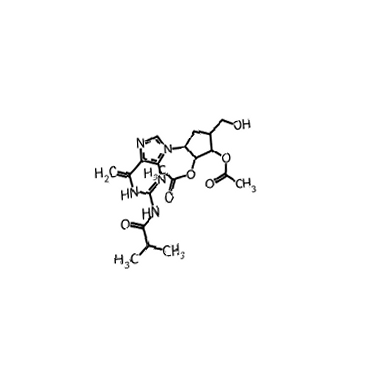 C=C1NC(NC(=O)C(C)C)=Nc2c1ncn2C1CC(CO)C(OC(C)=O)C1OC(C)=O